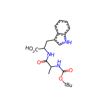 CC(NC(=O)OC(C)(C)C)C(=O)NC(Cc1c[nH]c2ccccc12)C(=O)O